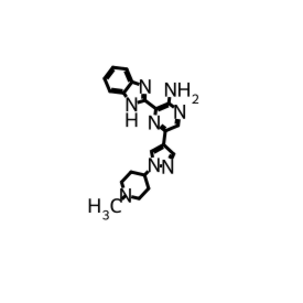 CN1CCC(n2cc(-c3cnc(N)c(-c4nc5ccccc5[nH]4)n3)cn2)CC1